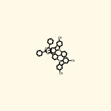 N#Cc1ccc2c(c1)c1cc(C#N)ccc1n2-c1ccccc1-c1cc(-c2cc(-c3ccccc3)nc(-c3ccccc3)n2)ccc1-n1c2ccc(C#N)cc2c2cc(C#N)ccc21